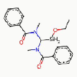 CCO[SiH2]C(N(C)C(=O)c1ccccc1)N(C)C(=O)c1ccccc1